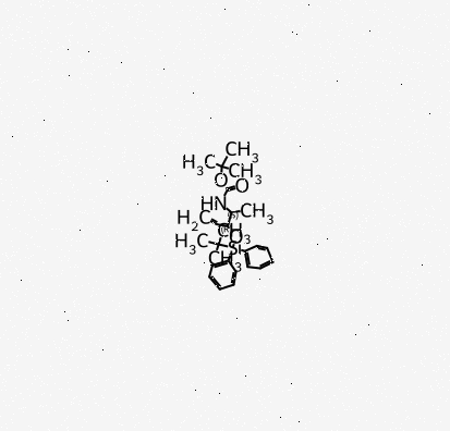 C=C[C@@H](O[Si](c1ccccc1)(c1ccccc1)C(C)(C)C)[C@H](C)NC(=O)OC(C)(C)C